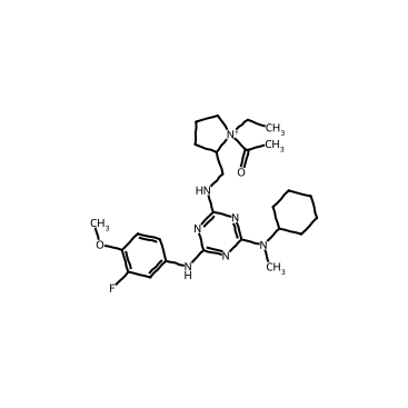 CC[N+]1(C(C)=O)CCCC1CNc1nc(Nc2ccc(OC)c(F)c2)nc(N(C)C2CCCCC2)n1